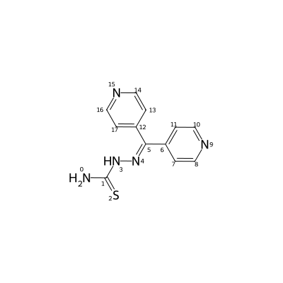 NC(=S)NN=C(c1ccncc1)c1ccncc1